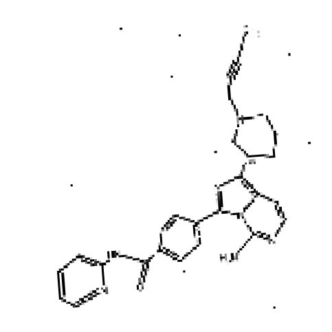 CC#CCN1CCC[C@H](c2nc(-c3ccc(C(=O)Nc4ccccn4)cc3)n3c(N)nccc23)C1